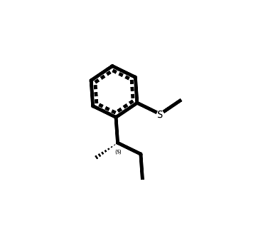 CC[C@H](C)c1ccccc1SC